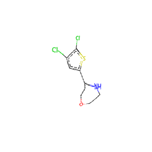 Clc1cc(C2COCCN2)sc1Cl